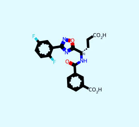 O=C(O)CC[C@H](NC(=O)c1cccc(C(=O)O)c1)c1nc(-c2cc(F)ccc2F)no1